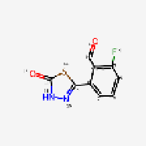 O=Cc1c(F)cccc1-c1n[nH]c(=O)s1